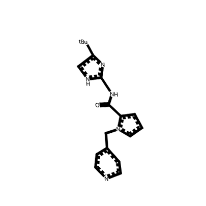 CC(C)(C)c1c[nH]c(NC(=O)c2cccn2Cc2ccncc2)n1